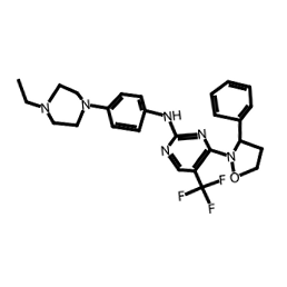 CCN1CCN(c2ccc(Nc3ncc(C(F)(F)F)c(N4OCCC4c4ccccc4)n3)cc2)CC1